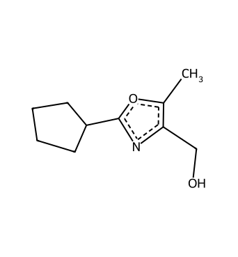 Cc1oc(C2CCCC2)nc1CO